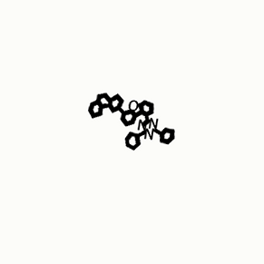 C1=CC(c2nc(-c3ccccc3)nc(-c3cccc4oc5c(-c6ccc7ccc8ccccc8c7c6)cccc5c34)n2)=CCC1